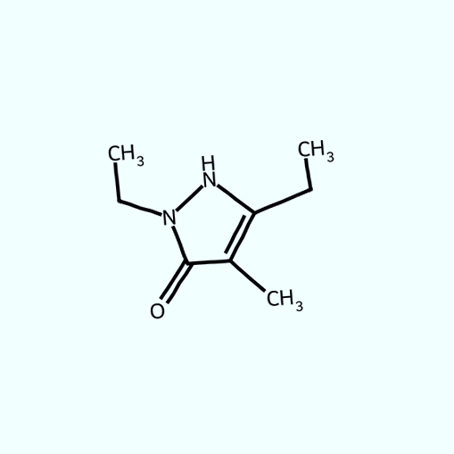 CCc1[nH]n(CC)c(=O)c1C